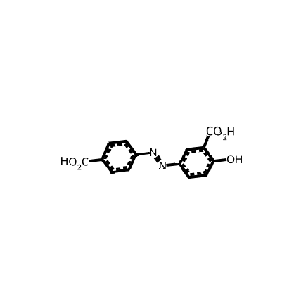 O=C(O)c1ccc(/N=N/c2ccc(O)c(C(=O)O)c2)cc1